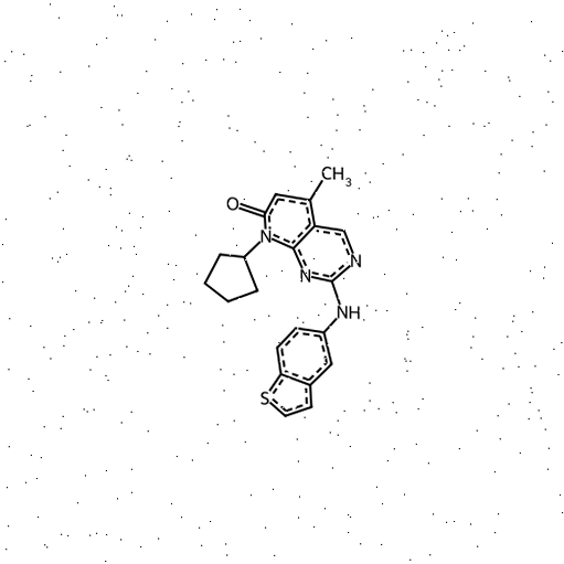 Cc1cc(=O)n(C2CCCC2)c2nc(Nc3ccc4sccc4c3)ncc12